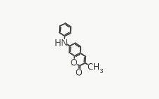 Cc1cc2ccc(Nc3ccccc3)cc2oc1=O